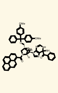 COc1ccc(C(OC[C@]23CN(C(=O)c4ccc5ccc6cccc7ccc4c5c67)[C@H]([C@H](n4cnc5c4N=CNC5(N)C(=O)c4ccccc4)O2)[C@H]3O)(c2ccccc2)c2ccc(OC)cc2)cc1